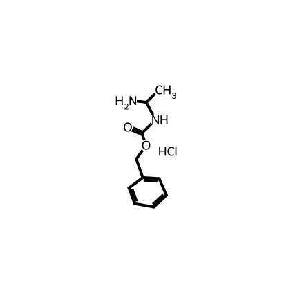 CC(N)NC(=O)OCc1ccccc1.Cl